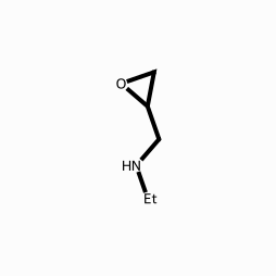 CCNCC1CO1